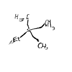 C[C][Si](C)(C)C